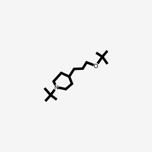 CC(C)(C)OCCCC1CCN(C(C)(C)C)CC1